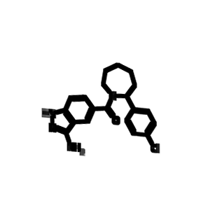 Nc1n[nH]c2ccc(C(=O)N3CCCCCC3c3ccc(Cl)cc3)cc12